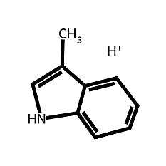 Cc1c[nH]c2ccccc12.[H+]